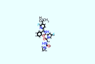 CC(C)c1ccc([C@@H](NC(=O)[C@@H]2C[C@@H](F)CN2C(=O)CNC(=O)N2CCC2)c2ccccc2)nc1F